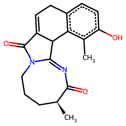 Cc1c(O)ccc2c1C1C(=CC2)C(=O)N2CCC[C@H](C)C(=O)/N=C/12